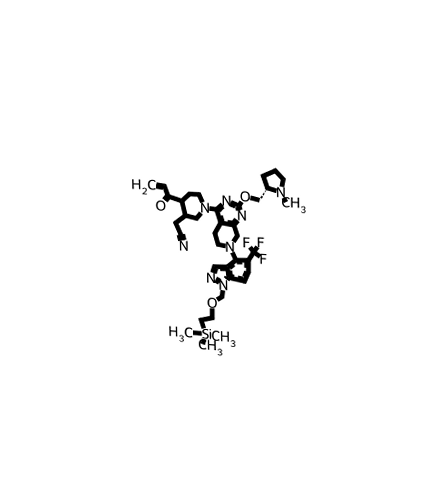 C=CC(=O)C1CCN(c2nc(OC[C@@H]3CCCN3C)nc3c2CCN(c2c(C(F)(F)F)ccc4c2cnn4COCC[Si](C)(C)C)C3)CC1CC#N